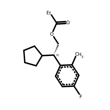 CCC(=O)OC[C@H](c1ccc(F)cc1C)C1CCCC1